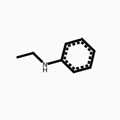 CCNc1c[c]ccc1